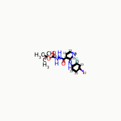 CC(C)(C)OC(=O)NNC(=O)c1ccncc1Nc1ccc(I)cc1F